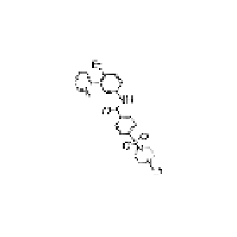 CCc1ccc(NC(=O)c2ccc(S(=O)(=O)N3CCN(CC)CC3)cc2)cc1-c1ccccn1